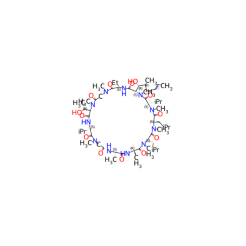 C/C=C/C[C@@H](C)[C@@H](O)[C@H]1C(=O)N[C@@H](CC)C(=O)N(C)CC(=O)N(C)C([C@@H](C)O)C(=O)N[C@@H](C(C)C)C(=O)N(C)CC(=O)N[C@@H](C)C(=O)N[C@H](C)C(=O)N(C)[C@@H](CC(C)C)C(=O)N(C)[C@H](CC(C)C)C(=O)N(C)[C@@H](C(C)C)C(=O)N1C